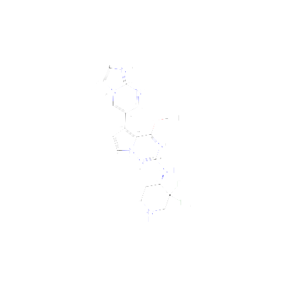 COc1nc(N[C@@H]2CCNCC2(F)F)nn2ccc(-c3cnc4nccn4c3)c12